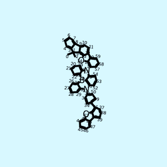 CC1(C)c2ccccc2-c2ccc3c(oc4c(N5c6ccccc6B6c7ccccc7N(c7ccc(-c8cccc9c8oc8ccccc89)cc7)c7cccc5c76)cccc43)c21